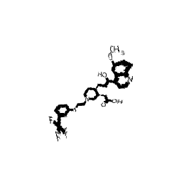 COc1ccc2nccc(C(O)CC[C@@H]3CCN(CCSc4cccc(C(F)(F)F)c4)C[C@@H]3CC(=O)O)c2c1